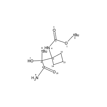 CC(C)(C)OC(=O)NC1(C(O)(C(N)=O)C(C)(C)C)CCC1